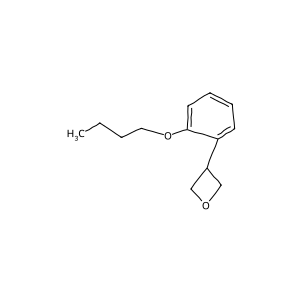 CCCCOc1ccccc1C1COC1